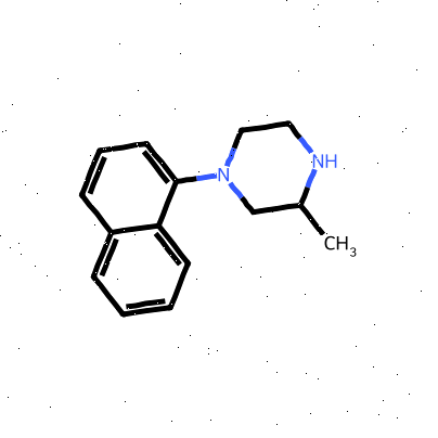 CC1CN(c2cccc3ccccc23)CCN1